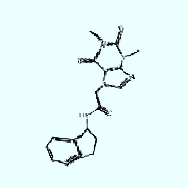 Cn1c(=O)c2c(ncn2CC(=O)NC2CCc3ccccc32)n(C)c1=O